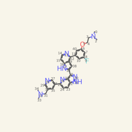 CN(C)CCOc1cc(F)cc(-c2nccc3[nH]c(-c4n[nH]c5ccc(-c6cncc(CN(C)C)c6)nc45)cc23)c1